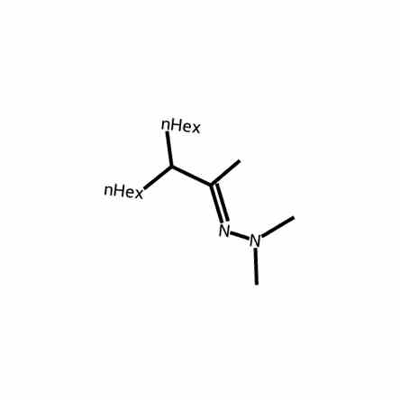 CCCCCCC(CCCCCC)/C(C)=N/N(C)C